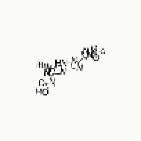 CCC(C)n1nc(N2CC[C@H](O)C2=O)c2cnc(Nc3ccnc(-c4cnn(S(=O)(=O)C5CC5)c4)n3)cc21